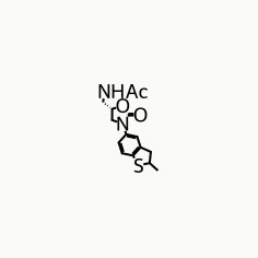 CC(=O)NC[C@H]1CN(c2ccc3c(c2)CC(C)S3)C(=O)O1